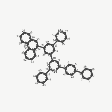 c1ccc(-c2ccc(-c3cc(-c4cc(-c5cccnc5)cc(-c5cc6ccccc6c6ccccc56)c4)nc(-c4ccccc4)n3)cc2)cc1